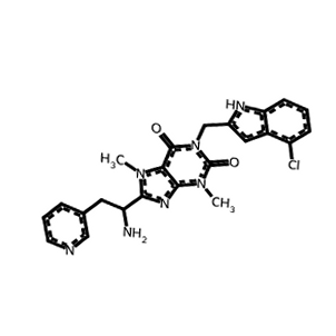 Cn1c(C(N)Cc2cccnc2)nc2c1c(=O)n(Cc1cc3c(Cl)cccc3[nH]1)c(=O)n2C